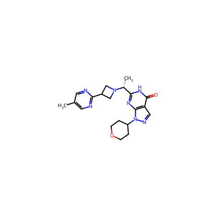 Cc1cnc(C2CN([C@H](C)c3nc4c(cnn4C4CCOCC4)c(=O)[nH]3)C2)nc1